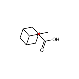 CN1CC2CC(C1)C2CC(=O)O